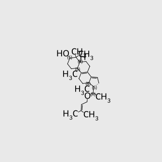 CC(C)=CCO[C@H](C)[C@H]1CC=C2C3=C(CC[C@@]21C)[C@@]1(C)CC[C@H](O)C(C)(C)[C@@H]1CC3